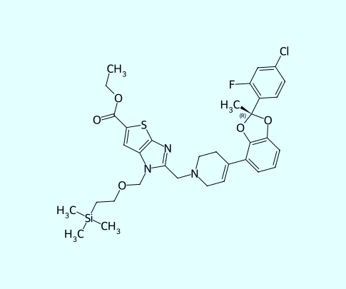 CCOC(=O)c1cc2c(nc(CN3CC=C(c4cccc5c4O[C@](C)(c4ccc(Cl)cc4F)O5)CC3)n2COCC[Si](C)(C)C)s1